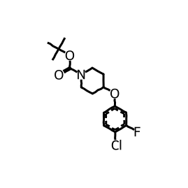 CC(C)(C)OC(=O)N1CCC(Oc2ccc(Cl)c(F)c2)CC1